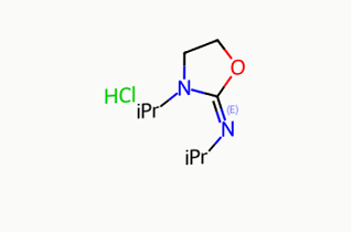 CC(C)/N=C1/OCCN1C(C)C.Cl